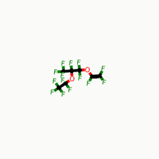 FC(F)=C(F)OC(F)(F)C(F)(OC(F)(F)C(F)(F)F)C(F)(F)F